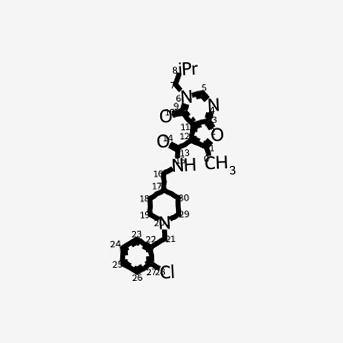 Cc1oc2ncn(CC(C)C)c(=O)c2c1C(=O)NCC1CCN(Cc2ccccc2Cl)CC1